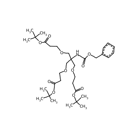 CC(C)(C)OC(=O)CCOCC(COCCC(=O)OC(C)(C)C)(COCCC(=O)OC(C)(C)C)NC(=O)OCc1ccccc1